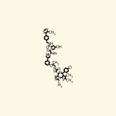 Cc1ncsc1-c1ccc(CNC(=O)[C@@H]2C[C@@H](O)CN2C(=O)[C@@H](C(C)C)n2cc(-c3cccc(O[C@H](C)CNC(=O)C[C@@H]4N=C(c5ccc(Cl)cc5)c5c(sc(C)c5C)-n5c(C)nnc54)c3)cn2)cc1